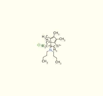 CCCCN(CCCC)[Si](C)(C)C1(C)C(C)=C(C)C(C)=[C]1[Ti+2].[Cl-].[Cl-]